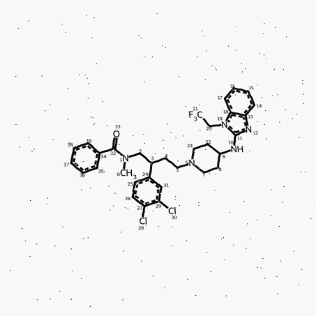 CN(CC(CCN1CCC(Nc2nc3ccccc3n2CC(F)(F)F)CC1)c1ccc(Cl)c(Cl)c1)C(=O)c1ccccc1